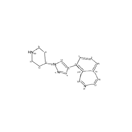 c1cc(-c2cnn(C3CCNCC3)c2)c2cnccc2c1